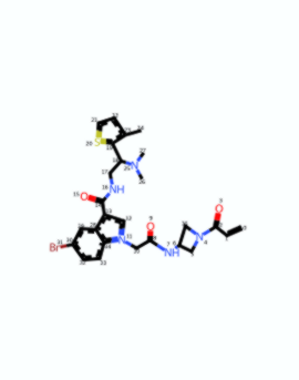 C=CC(=O)N1CC(NC(=O)Cn2cc(C(=O)NCC(c3sccc3C)N(C)C)c3cc(Br)ccc32)C1